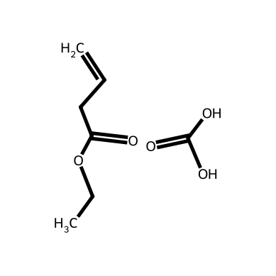 C=CCC(=O)OCC.O=C(O)O